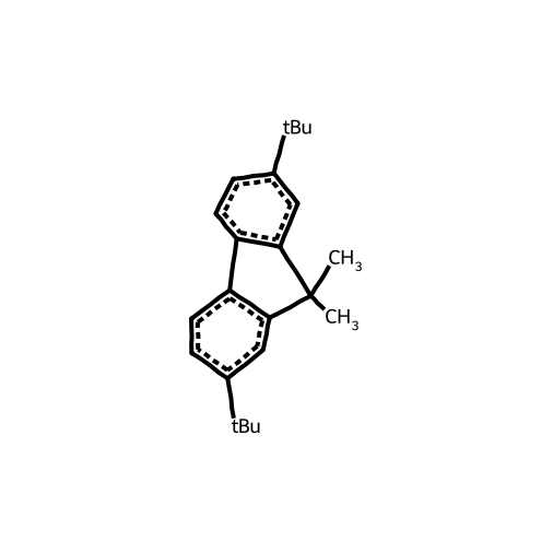 CC(C)(C)c1ccc2c(c1)C(C)(C)c1cc(C(C)(C)C)ccc1-2